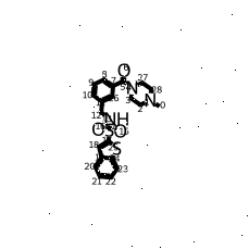 CN1CCN(C(=O)c2cccc(CNS(=O)(=O)c3cc4ccccc4s3)c2)CC1